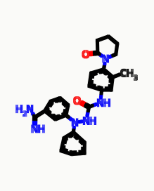 Cc1cc(NC(=O)NN(c2ccccc2)c2cccc(C(=N)N)c2)ccc1N1CCCCC1=O